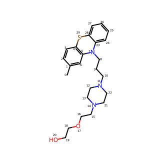 Cc1ccc2c(c1)N(CCCN1CCN(CCOCCO)CC1)c1ccccc1S2